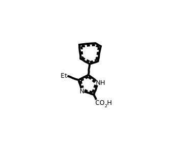 CCc1nc(C(=O)O)[nH]c1-c1ccccc1